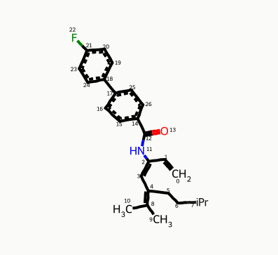 C=C/C(=C\C(CCC(C)C)=C(C)C)NC(=O)c1ccc(-c2ccc(F)cc2)cc1